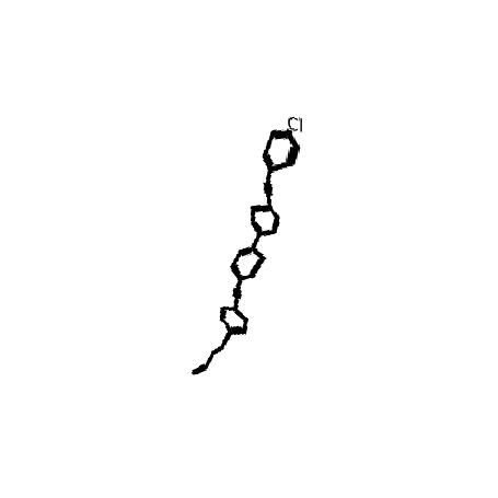 C=CCCc1ccc(C#Cc2ccc(-c3ccc(C#Cc4ccc(Cl)cc4)cc3)cc2)cc1